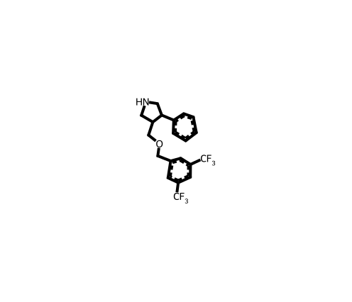 FC(F)(F)c1cc(COCC2CNCC2c2ccccc2)cc(C(F)(F)F)c1